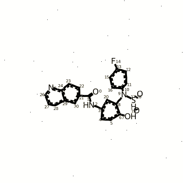 O=C(Nc1ccc(O)c(N(c2ccc(F)cc2)[SH](=O)=O)c1)c1ccc2ncccc2c1